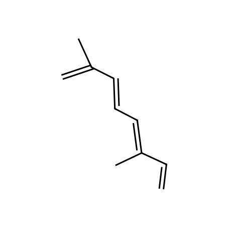 C=C/C(C)=C/C=C/C(=C)C